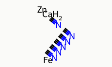 C#N.C#N.C#N.C#N.C#N.C#N.[CaH2].[Fe].[Zn]